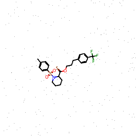 Cc1ccc(S(=O)(=O)N2CCCCC2C(=S)OCCCc2ccc(C(F)(F)F)cc2)cc1